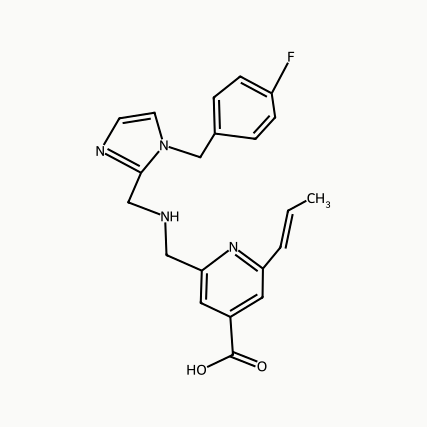 C/C=C/c1cc(C(=O)O)cc(CNCc2nccn2Cc2ccc(F)cc2)n1